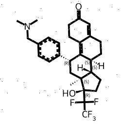 CN(C)Cc1ccc([C@H]2C[C@@]3(C)[C@@H](CC[C@]3(O)C(F)(F)C(F)(F)F)[C@@H]3CCC4=CC(=O)CCC4=C32)cc1